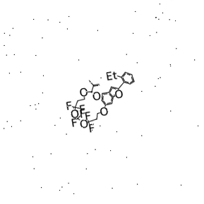 C=C(C)C(=O)OCCC(F)(F)OC(F)(F)OC(F)(F)CCOc1ccc2cc(-c3ccccc3CC)oc2c1